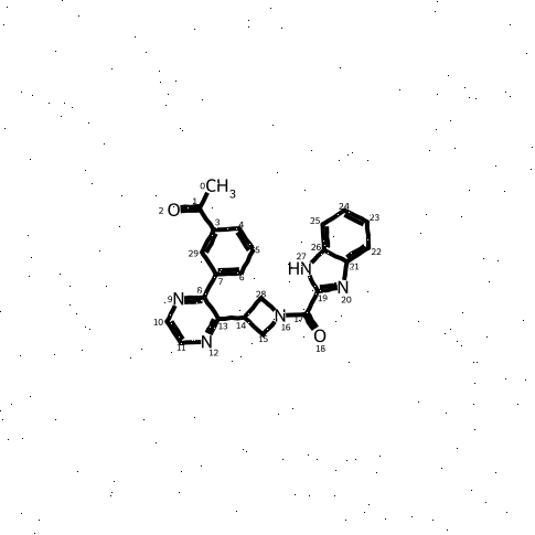 CC(=O)c1cccc(-c2nccnc2C2CN(C(=O)c3nc4ccccc4[nH]3)C2)c1